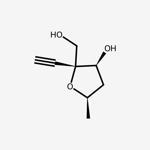 C#C[C@]1(CO)O[C@H](C)C[C@@H]1O